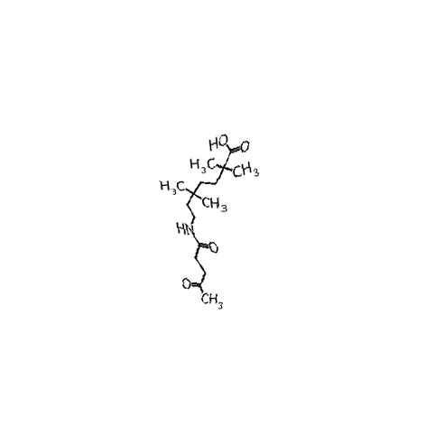 CC(=O)CCC(=O)NCCC(C)(C)CCC(C)(C)C(=O)O